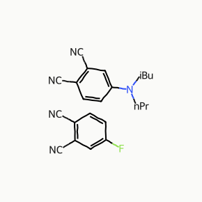 CCCN(c1ccc(C#N)c(C#N)c1)C(C)CC.N#Cc1ccc(F)cc1C#N